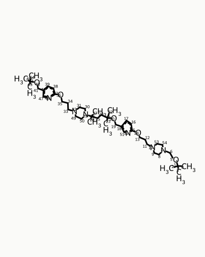 CC(C)(C)OCCN1CCN(CCCOc2ccc(COC(C)(C)CCC(C)(C)N3CCN(CCCOc4ccc(COC(C)(C)C)cn4)CC3)cn2)CC1